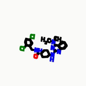 CN(C)c1nc(N[C@H]2CC[C@@H](C(=O)NCc3cc(Cl)ccc3Cl)CC2)nc2ccccc12